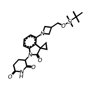 CC(C)(C)[Si](C)(C)OCC1CN(c2cccc3c2C2(CC2)C(=O)N3C2CCC(=O)NC2=O)C1